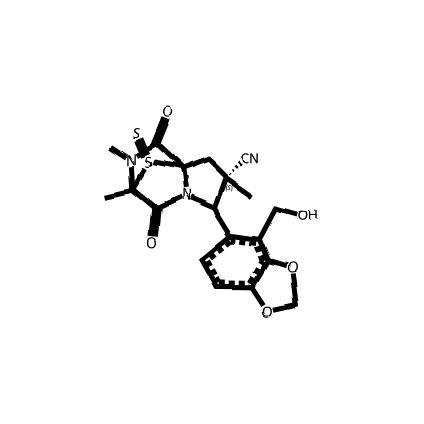 CN1C(=O)C23C[C@](C)(C#N)C(c4ccc5c(c4CO)OCO5)N2C(=O)C1(C)S3=S